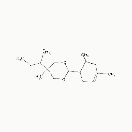 CCC(C)C1(C)COC(C2CC=C(C)CC2C)OC1